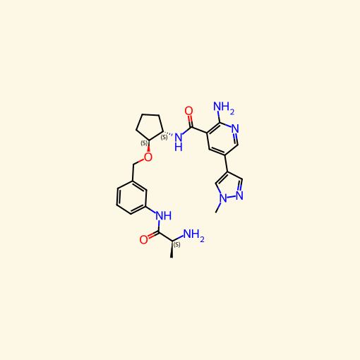 C[C@H](N)C(=O)Nc1cccc(CO[C@H]2CCC[C@@H]2NC(=O)c2cc(-c3cnn(C)c3)cnc2N)c1